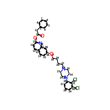 O=C(Cc1ccccc1)Oc1ccc2ccc(OCCCCN3CCN(c4cccc(Cl)c4Cl)CC3)cc2n1